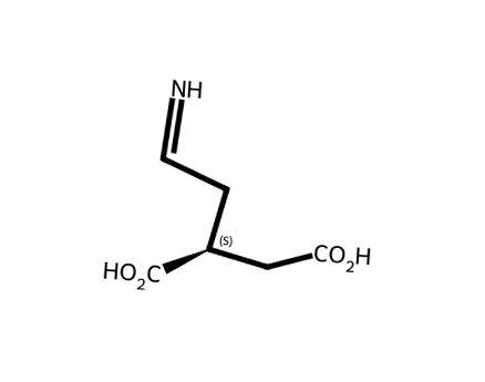 N=CC[C@@H](CC(=O)O)C(=O)O